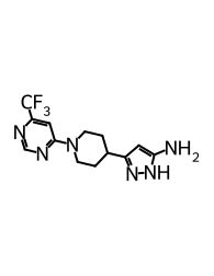 Nc1cc(C2CCN(c3cc(C(F)(F)F)ncn3)CC2)n[nH]1